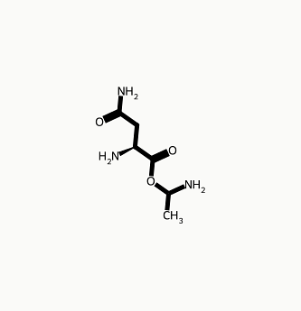 CC(N)OC(=O)[C@@H](N)CC(N)=O